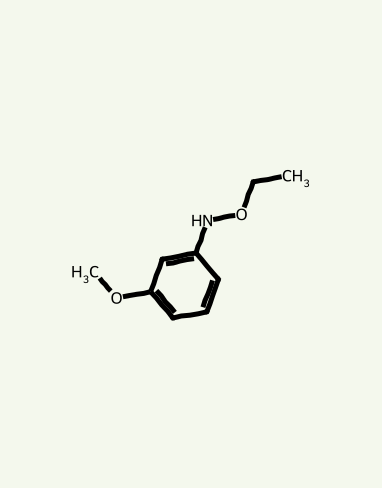 CCONc1cccc(OC)c1